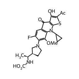 COc1c(N2CC[C@@H]([C@H](C)NC(=O)O)C2)c(F)cc2c(=O)c3c(O)c(C(C)=O)sc3n(C3CC3)c12